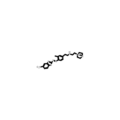 Cc1cc(CCNCC[N+]23CCN(CC2)CC3)ccc1N=Nc1nc2cc([N+](=O)[O-])ccc2s1